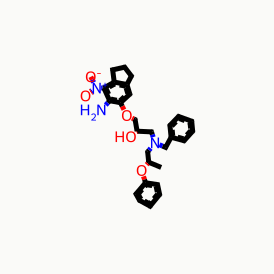 CC(CN(Cc1ccccc1)CC(O)COc1cc2c(c([N+](=O)[O-])c1N)CCC2)Oc1ccccc1